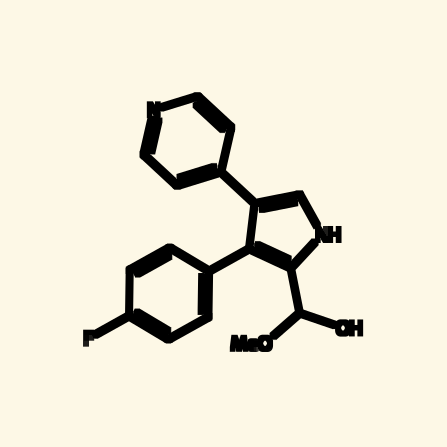 COC(O)c1[nH]cc(-c2ccncc2)c1-c1ccc(F)cc1